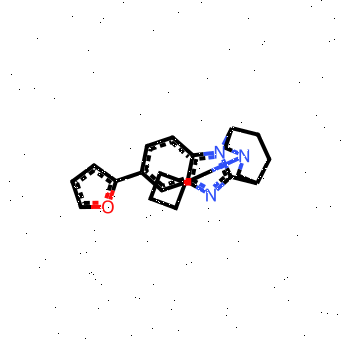 c1coc(-c2ccc3c(c2)nc2n3C3CCC2CN(C2CCC2)C3)c1